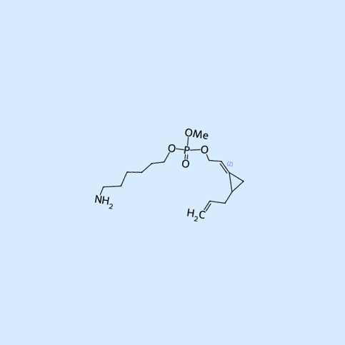 C=CCC1C/C1=C/COP(=O)(OC)OCCCCCCN